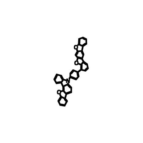 c1ccc2c(c1)oc1cc3oc4c(-c5ccc(-n6c7ccccc7c7c8oc9ccccc9c8ccc76)cc5)cccc4c3cc12